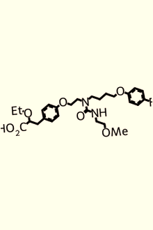 CCOC(Cc1ccc(OCCN(CCCCOc2ccc(F)cc2)C(=O)NCCOC)cc1)C(=O)O